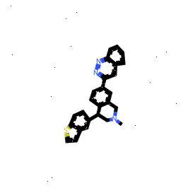 CN1Cc2cc(-c3cc4ccccc4nn3)ccc2C(c2ccc3sccc3c2)C1